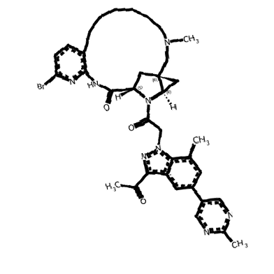 CC(=O)c1nn(CC(=O)N2[C@H]3C[C@]4(C[C@@H]24)CN(C)CCCCCCc2ccc(Br)nc2NC3=O)c2c(C)cc(-c3cnc(C)nc3)cc12